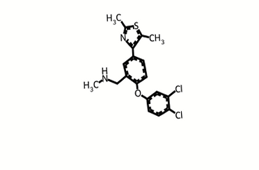 CNCc1cc(-c2nc(C)sc2C)ccc1Oc1ccc(Cl)c(Cl)c1